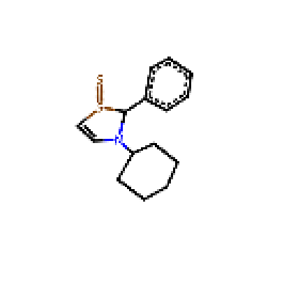 S=S1C=CN(C2CCCCC2)C1c1ccccc1